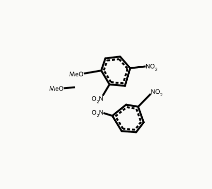 COC.COc1ccc([N+](=O)[O-])cc1[N+](=O)[O-].O=[N+]([O-])c1cccc([N+](=O)[O-])c1